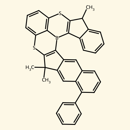 CC1C2=C(B3C4=C(Sc5cccc(c53)S2)C(C)(C)c2cc3c(-c5ccccc5)cccc3cc24)c2ccccc21